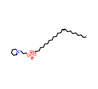 CCCCCCCC/C=C\CCCCCCCCCCCCOP(=O)(O)OCCC[N+]1=CCCCC1